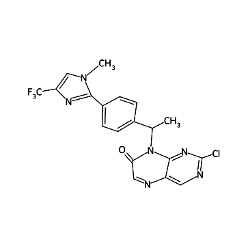 CC(c1ccc(-c2nc(C(F)(F)F)cn2C)cc1)n1c(=O)cnc2cnc(Cl)nc21